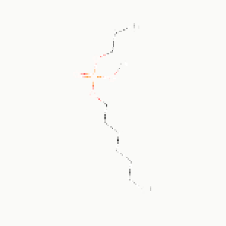 CCCCCCCOP(=O)(OC)OCCC